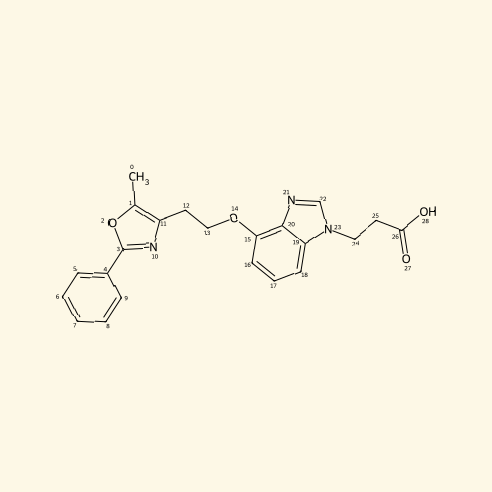 Cc1oc(-c2ccccc2)nc1CCOc1cccc2c1ncn2CCC(=O)O